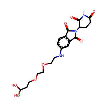 O=C1CCC(N2C(=O)c3ccc(NCCOCCOCCC(O)O)cc3C2=O)C(=O)N1